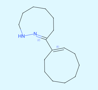 C1=C(/C2=N\NCCCCCC2)CCCCCCC/1